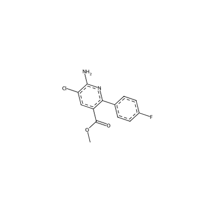 COC(=O)c1cc(Cl)c(N)nc1-c1ccc(F)cc1